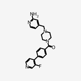 Nc1cc(CN2CCN(C(=O)c3ccc(-c4ccncc4F)cc3)CC2)ccn1